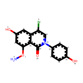 NOc1cc(O)cc2c(Br)cn(-c3ccc(O)cc3)c(=O)c12